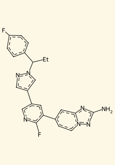 CCC(c1ccc(F)cc1)n1cc(-c2cnc(F)c(-c3ccn4nc(N)nc4c3)c2)cn1